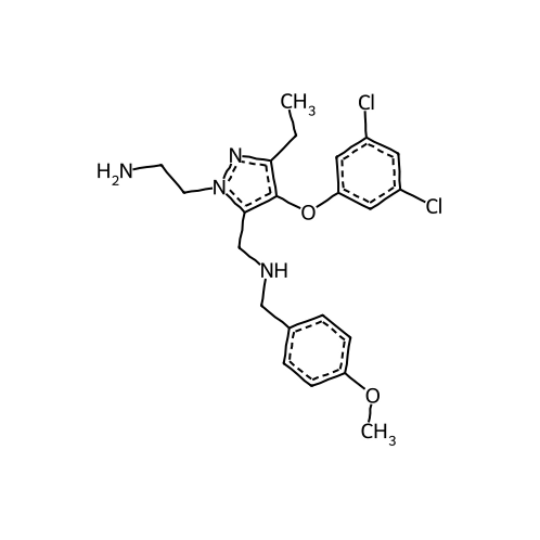 CCc1nn(CCN)c(CNCc2ccc(OC)cc2)c1Oc1cc(Cl)cc(Cl)c1